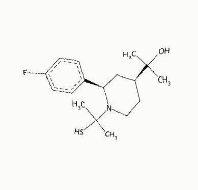 CC(C)(O)[C@H]1CCN(C(C)(C)S)[C@@H](c2ccc(F)cc2)C1